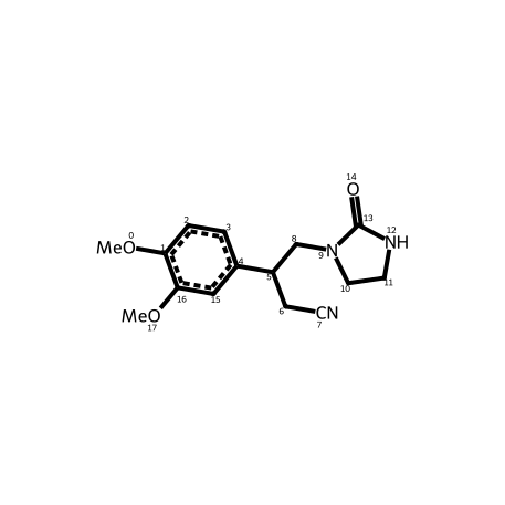 COc1ccc(C(CC#N)CN2CCNC2=O)cc1OC